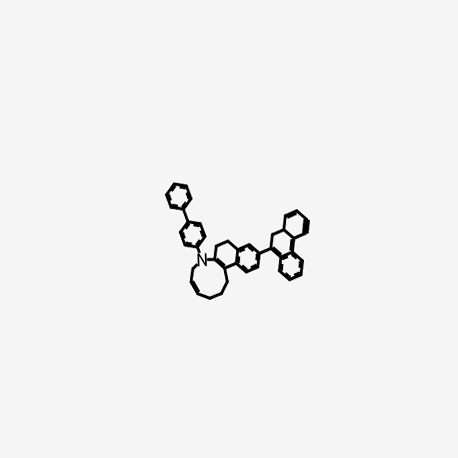 C1#CC2=c3ccccc3=C(c3ccc4c(c3)CCC3=C4CCC/C=C\CN3c3ccc(-c4ccccc4)cc3)CC2C=C1